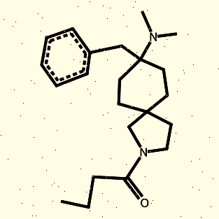 CCCC(=O)N1CCC2(CCC(Cc3ccccc3)(N(C)C)CC2)C1